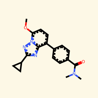 COc1ccc(-c2ccc(C(=O)N(C)C)cc2)c2nc(C3CC3)nn12